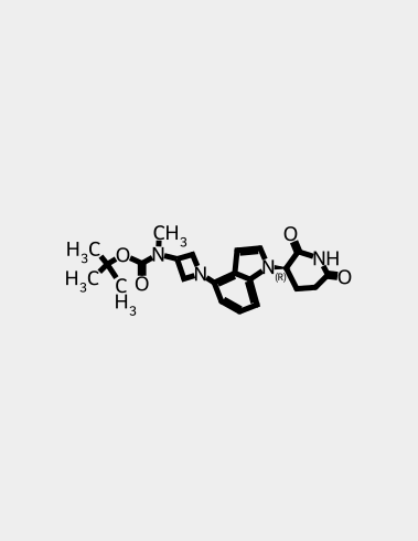 CN(C(=O)OC(C)(C)C)C1CN(c2cccc3c2ccn3[C@@H]2CCC(=O)NC2=O)C1